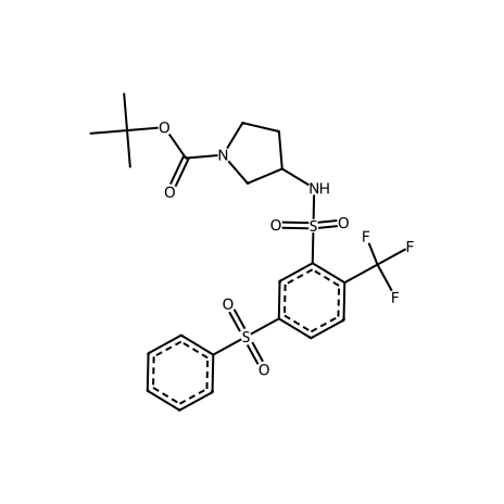 CC(C)(C)OC(=O)N1CCC(NS(=O)(=O)c2cc(S(=O)(=O)c3ccccc3)ccc2C(F)(F)F)C1